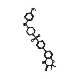 CC1(C)Oc2ccc(-c3ccc(S(=O)(=O)N4CCC(Nc5ccc(C(F)(F)F)cn5)CC4)cc3)cc2NC1=O